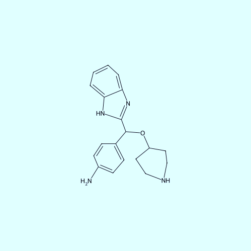 Nc1ccc(C(OC2CCNCC2)c2nc3ccccc3[nH]2)cc1